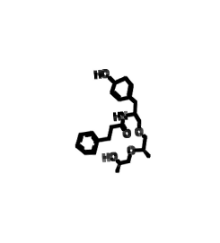 C[C@H](COCC(CC1=CCC(O)C=C1)NC(=O)CCc1ccccc1)OC[C@@H](C)O